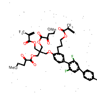 C=C(C(=O)OCCCc1cc(-c2c(F)cc(-c3ccc(CCCCCCC)cc3)cc2F)ccc1OCC(COC(=O)C(=C)C(F)(F)F)(COC(=O)C(=O)CCOC)COC(=O)C(=O)CCOC)C(F)(F)F